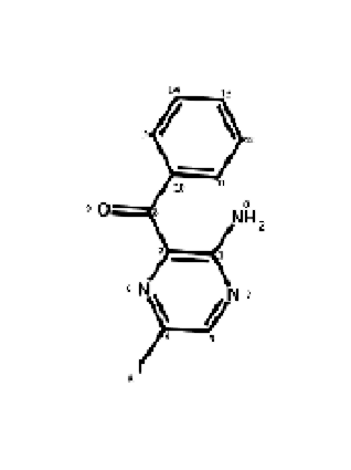 Nc1ncc(I)nc1C(=O)c1ccccc1